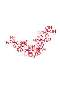 O.O=P(O)(O)O.O=P(O)(O)O.O=P(O)(O)O.O=P(O)(O)O.O=P(O)(O)O.O=P(O)(O)O